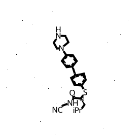 CC(C)C[C@H](Sc1ccc(-c2ccc(N3CCNCC3)cc2)cc1)C(=O)NCC#N